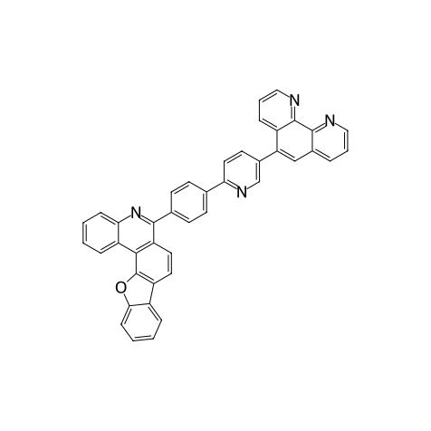 c1cnc2c(c1)cc(-c1ccc(-c3ccc(-c4nc5ccccc5c5c4ccc4c6ccccc6oc45)cc3)nc1)c1cccnc12